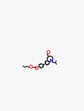 CCCCOCCOc1ccc(-c2ccc3c(c2)/C=C(/C=O)CCCN3CC(C)C)cc1